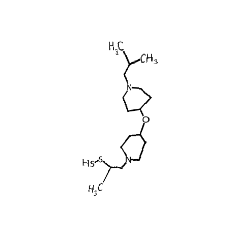 CC(C)CN1CCC(OC2CCN(CC(C)SS)CC2)CC1